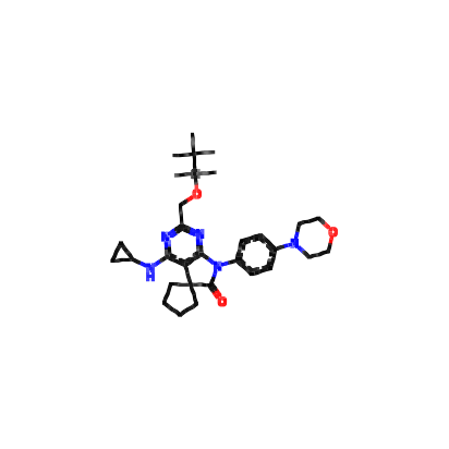 CC(C)(C)[Si](C)(C)OCc1nc(NC2CC2)c2c(n1)N(c1ccc(N3CCOCC3)cc1)C(=O)C21CCCC1